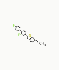 CCCc1ccc2cc(-c3ccc(-c4ccc(F)cc4)c(F)c3)sc2c1